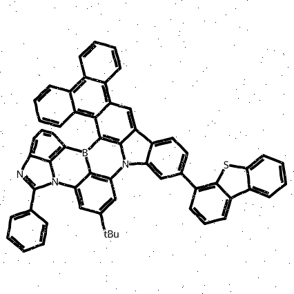 CC(C)(C)c1cc2c3c(c1)-n1c4cc(-c5cccc6c5sc5ccccc56)ccc4c4cc5c6ccccc6c6ccccc6c5c(c41)B3c1cccc3nc(-c4ccccc4)n-2c13